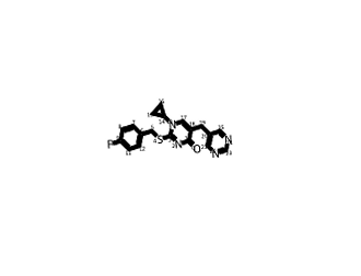 O=c1nc(SCc2ccc(F)cc2)n(C2CC2)cc1Cc1cncnc1